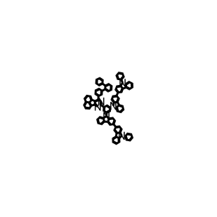 c1ccc(-c2ccccc2-c2cccc(-c3nc(-c4cc(-n5c6ccccc6c6cc(-c7ccc8c(c7)c7ccccc7n8-c7ccccc7)ccc65)cc(-n5c6ccccc6c6cc(-c7ccc8c(c7)c7ccccc7n8-c7ccccc7)ccc65)c4)nc4c3-c3cccc5cccc-4c35)c2)cc1